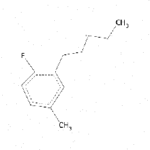 CC[CH]CCc1cc(C)ccc1F